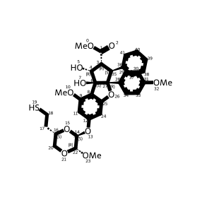 COC(=O)[C@H]1[C@@H](O)[C@@]2(O)c3c(OC)cc(O[C@@H]4O[C@@H](CCS)CO[C@H]4OC)cc3O[C@@]2(c2ccc(OC)cc2)[C@@H]1c1ccccc1